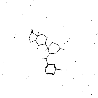 C=C1CCC2C(O)C(C3(C)CCC(O)CC3C(N)c3cccc(C)c3)CCC12C